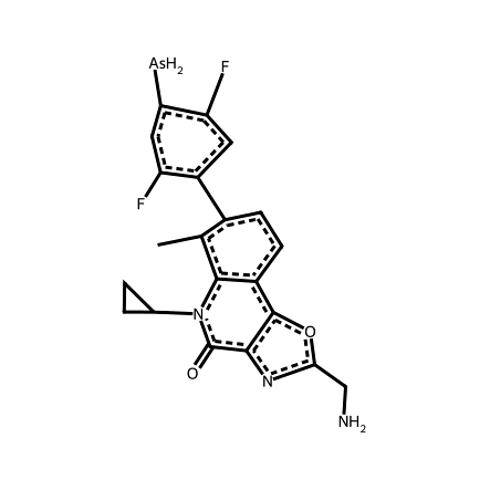 Cc1c(-c2cc(F)c([AsH2])cc2F)ccc2c3oc(CN)nc3c(=O)n(C3CC3)c12